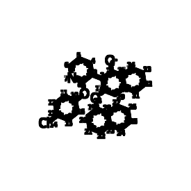 [O]c1c(-c2cccnc2Oc2ccc(Cl)cc2)c(Oc2cccc3ccccc23)cc2ccccc12